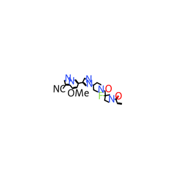 C=CC(=O)N1CCC(F)(C(=O)N2CCC(n3cc(-c4cc(OC)c5c(C#N)cnn5c4)cn3)CC2)C1